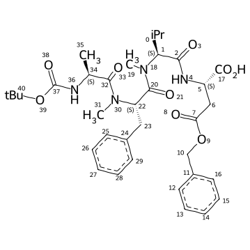 CC(C)[C@@H](C(=O)N[C@@H](CC(=O)OCc1ccccc1)C(=O)O)N(C)C(=O)[C@H](Cc1ccccc1)N(C)C(=O)[C@H](C)NC(=O)OC(C)(C)C